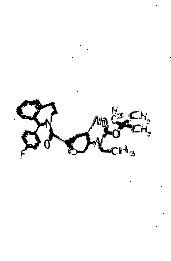 CCN(C(=O)OC(C)(C)C)[C@H]1CO[C@@H](C(=O)N2CCc3ccccc3[C@@H]2c2ccc(F)cc2)C[C@@H]1N